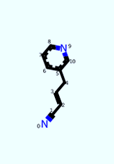 N#CC=CCc1cccnc1